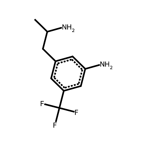 CC(N)Cc1cc(N)cc(C(F)(F)F)c1